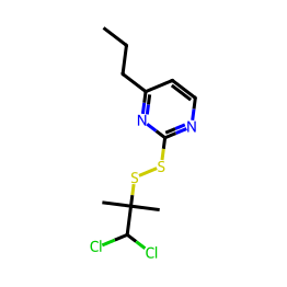 CCCc1ccnc(SSC(C)(C)C(Cl)Cl)n1